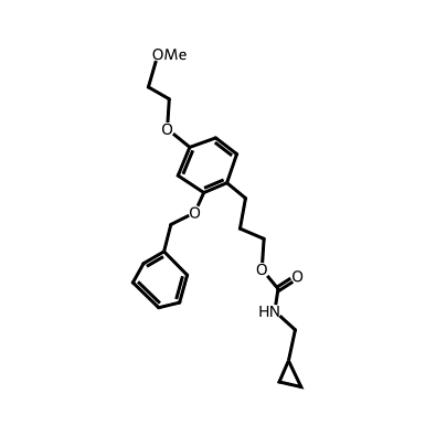 COCCOc1ccc(CCCOC(=O)NCC2CC2)c(OCc2ccccc2)c1